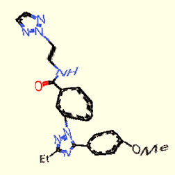 CCc1nc(-c2ccc(OC)cc2)n(-c2cccc(C(=O)NCCn3nccn3)c2)n1